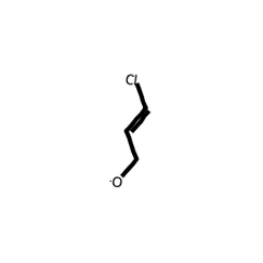 [O]CC=CCl